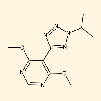 COc1ncnc(OC)c1-c1nnn(C(C)C)n1